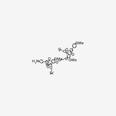 COc1ccc(C2=CN3C(=O)c4cc(OC)c(OCCCCCOc5cc6c(cc5OC)C(=O)N5C=C(c7ccc(N)cc7)C[C@H]5C(=O)N6COCC[Si](C)(C)C)cc4N(COCC[Si](C)(C)C)C(=O)C3C2)cc1